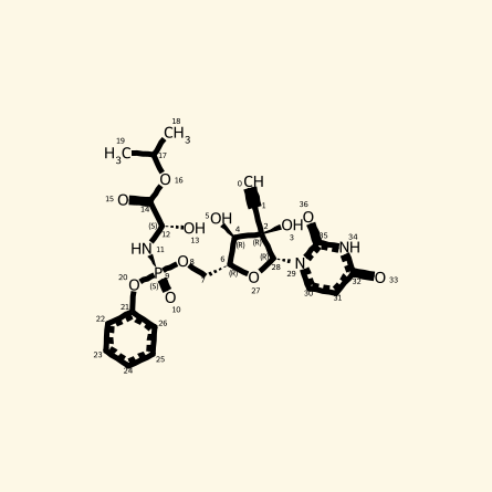 C#C[C@@]1(O)[C@H](O)[C@@H](CO[P@@](=O)(N[C@@H](O)C(=O)OC(C)C)Oc2ccccc2)O[C@H]1n1ccc(=O)[nH]c1=O